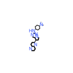 CN(C)[C@H]1CC[C@H](Nc2ncc3c(-c4ccc5ncccc5n4)ccn3n2)CC1